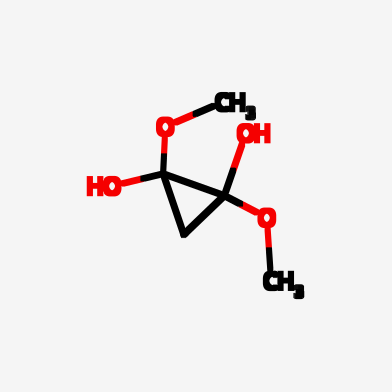 COC1(O)CC1(O)OC